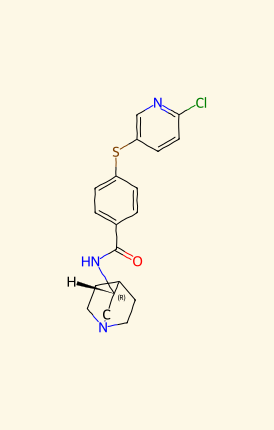 O=C(N[C@H]1CN2CCC1CC2)c1ccc(Sc2ccc(Cl)nc2)cc1